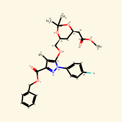 CC(C)c1c(C(=O)OCc2ccccc2)nn(-c2ccc(F)cc2)c1OC[C@@H]1C[C@H](CC(=O)OC(C)(C)C)OC(C)(C)O1